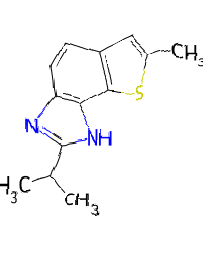 Cc1cc2ccc3nc(C(C)C)[nH]c3c2s1